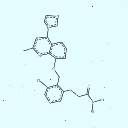 CCN(CC)C(=O)CSc1cncc(Cl)c1COc1cccc2c(-n3ccnc3)cc(C)nc12